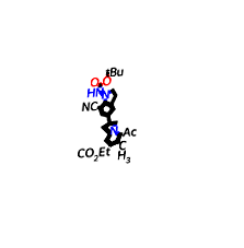 CCOC(=O)c1cc2cc(-c3cc(C#N)c4c(c3)CCN4NC(=O)OC(C)(C)C)cn2c(C(C)=O)c1C